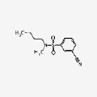 CCCCN(C)S(=O)(=O)c1cccc(C#N)c1